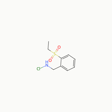 CCS(=O)(=O)c1ccccc1CNCl